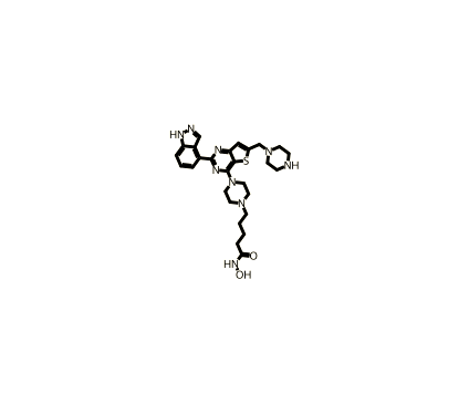 O=C(CCCCN1CCN(c2nc(-c3cccc4[nH]ncc34)nc3cc(CN4CCNCC4)sc23)CC1)NO